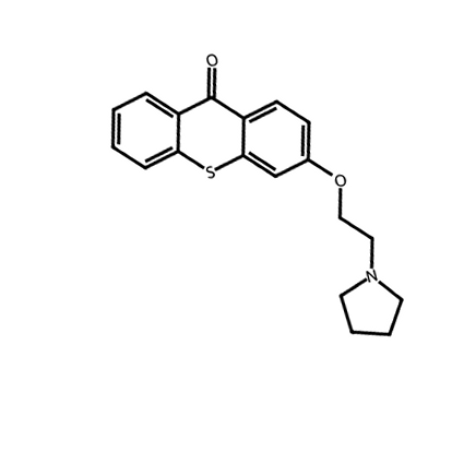 O=c1c2ccccc2sc2cc(OCCN3CCCC3)ccc12